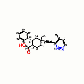 Cc1ccnnc1C#CC1(C)CC[C@@H](C(=O)O)[C@H](c2ccccc2)C1